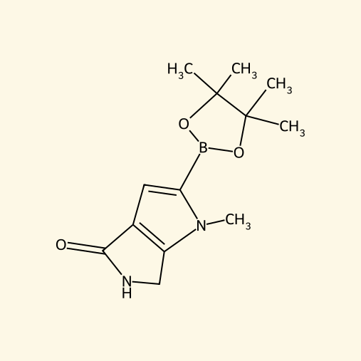 Cn1c(B2OC(C)(C)C(C)(C)O2)cc2c1CNC2=O